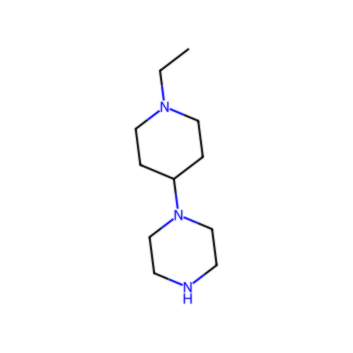 CCN1CCC(N2CCNCC2)CC1